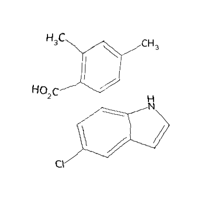 Cc1ccc(C(=O)O)c(C)c1.Clc1ccc2[nH]ccc2c1